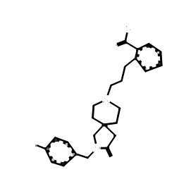 NC(=O)c1ccccc1[CH]CCN1CCC2(CC1)CC(=O)N(Cc1ccc(Cl)cc1)C2